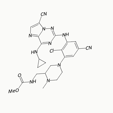 COC(=O)NCC1CN(c2cc(C#N)cc(Nc3nc(NC4CC4)c4ncc(C#N)n4n3)c2Cl)CCN1C